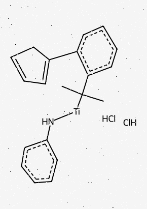 C[C](C)([Ti][NH]c1ccccc1)c1ccccc1C1=CC=CC1.Cl.Cl